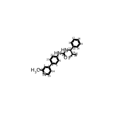 Cc1cc(-c2ccc(NC(=O)NC(c3ccccc3)C(F)F)cc2)ccn1